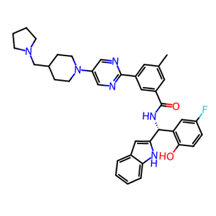 Cc1cc(C(=O)N[C@@H](c2cc3ccccc3[nH]2)c2cc(F)ccc2O)cc(-c2ncc(N3CCC(CN4CCCC4)CC3)cn2)c1